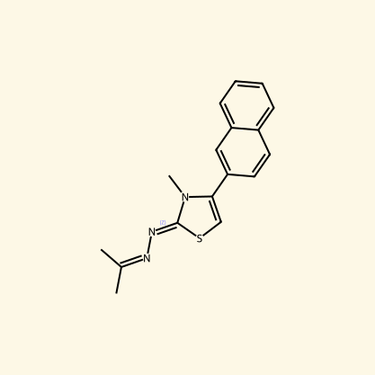 CC(C)=N/N=c1\scc(-c2ccc3ccccc3c2)n1C